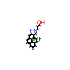 Cl.OCCCNCc1ccc2ccc3cccc4ccc1c2c34